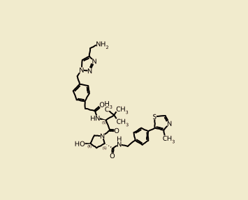 Cc1ncsc1-c1ccc(CNC(=O)[C@@H]2C[C@@H](O)CN2C(=O)[C@@H](NC(=O)Cc2ccc(Cn3cc(CN)nn3)cc2)C(C)(C)C)cc1